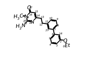 CCOc1cccc(-c2cccc(CCc3cc(=O)n(C)c(N)n3)c2)c1